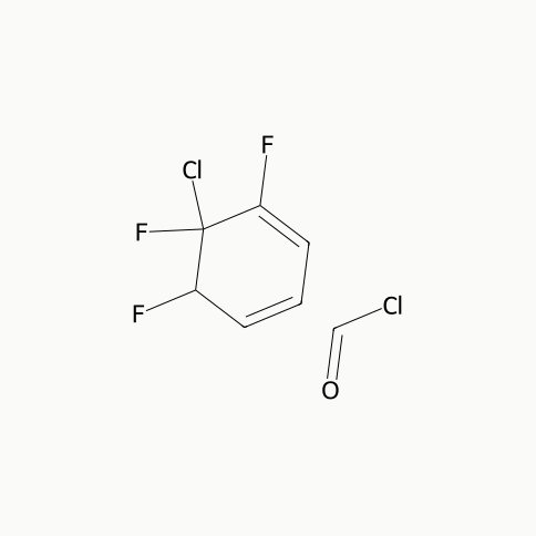 FC1=CC=CC(F)C1(F)Cl.O=CCl